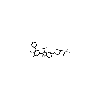 CC(C)c1c(-c2cc(-c3ccccc3)c(=O)n(C)c2)[nH]c2ccc(C3CCN(CC(=O)N(C)C)CC3)cc12